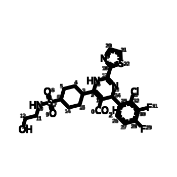 O=C(O)C1=C(C2CCC(S(=O)(=O)NCCO)CC2)NC(c2nccs2)=NC1c1ccc(F)c(F)c1Cl